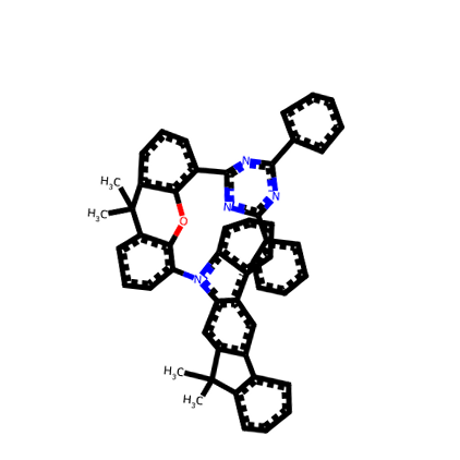 CC1(C)c2ccccc2-c2cc3c4ccccc4n(-c4cccc5c4Oc4c(-c6nc(-c7ccccc7)nc(-c7ccccc7)n6)cccc4C5(C)C)c3cc21